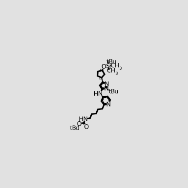 CC(C)(C)OC(=O)NCCCCCc1cc(Nc2cc([C@H]3CC[C@@H](O[Si](C)(C)C(C)(C)C)C3)nn2C(C)(C)C)ccn1